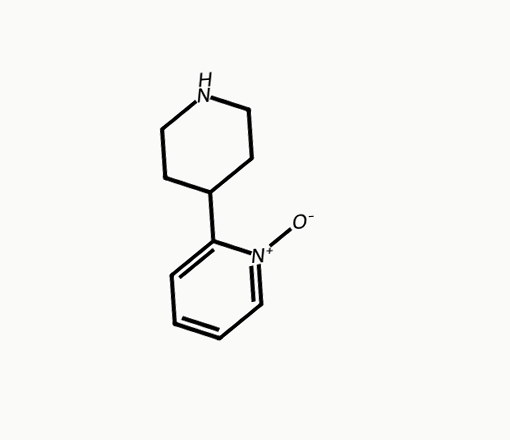 [O-][n+]1ccccc1C1CCNCC1